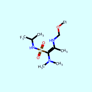 CCOCN/C(C)=C(/N(C)C)S(=O)(=O)NC(C)C(F)(F)F